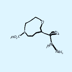 NNC(=O)C1CN(C(=O)O)CCO1